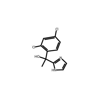 CC(O)(c1ncc[nH]1)c1ccc(Cl)cc1Cl